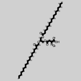 CCCCCCCCCCCCCCCCCC(=O)COC(COC(=O)CCCCCCCCCCCCCCCCC)COC(=O)CC(N=O)C(=O)O